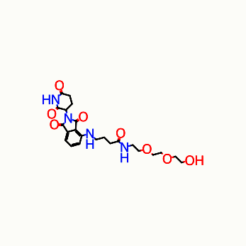 O=C(CCCNc1cccc2c1C(=O)N(C1CCC(=O)NC1=O)C2=O)NCCOCCOCCO